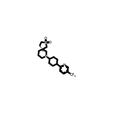 O=S1(=O)CC[C@]2(CCCN(C3CCC(c4ccc(C(F)(F)F)cn4)CC3)C2)C1